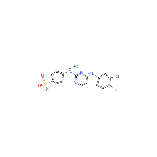 Cl.O=S(=O)(Cl)c1ccc(Nc2nccc(Nc3ccc(F)c(Cl)c3)n2)cc1